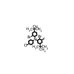 CC(C)(C)c1ccc(N(c2ccc(Cl)cc2)c2cc(C(C)(C)C)cc(I)c2Br)c(Br)c1